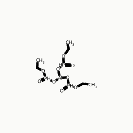 CCO[PH](=O)[O][Al]([O][PH](=O)OCC)[O][PH](=O)OCC